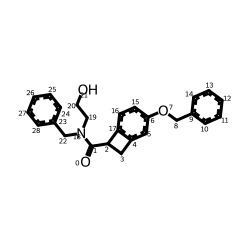 O=C(C1Cc2cc(OCc3ccccc3)ccc21)N(CCO)Cc1ccccc1